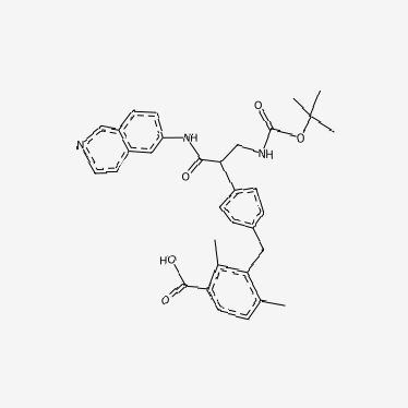 Cc1ccc(C(=O)O)c(C)c1Cc1ccc(C(CNC(=O)OC(C)(C)C)C(=O)Nc2ccc3cnccc3c2)cc1